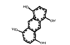 Oc1ccc(O)c2cc3c(O)ccc(O)c3cc12